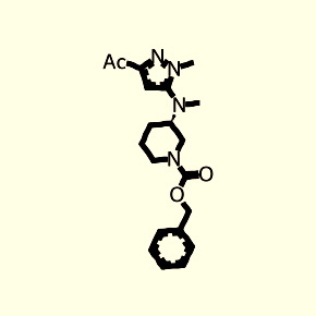 CC(=O)c1cc(N(C)[C@H]2CCCN(C(=O)OCc3ccccc3)C2)n(C)n1